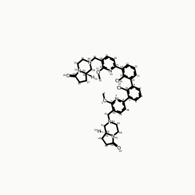 COc1nc(-c2cccc(-c3cccc(-c4ccc(CN5CCN6C(=O)CC[C@H]6C5)c(OC)n4)c3Cl)c2Cl)ccc1CN1CCN2C(=O)CC[C@H]2C1